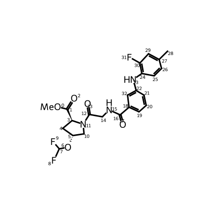 COC(=O)[C@@H]1C[C@@H](OC(F)F)CN1C(=O)CNC(=O)c1cccc(Nc2ccc(C)cc2F)c1